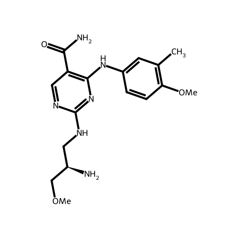 COC[C@H](N)CNc1ncc(C(N)=O)c(Nc2ccc(OC)c(C)c2)n1